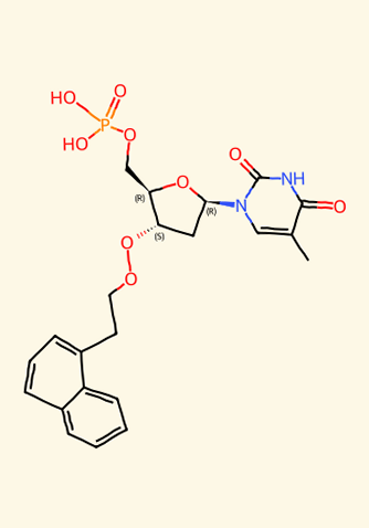 Cc1cn([C@H]2C[C@H](OOCCc3cccc4ccccc34)[C@@H](COP(=O)(O)O)O2)c(=O)[nH]c1=O